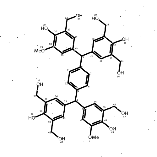 COc1cc(C(c2ccc(C(c3cc(CO)c(O)c(CO)c3)c3cc(CO)c(O)c(OC)c3)cc2)c2cc(CO)c(O)c(CO)c2)cc(CO)c1O